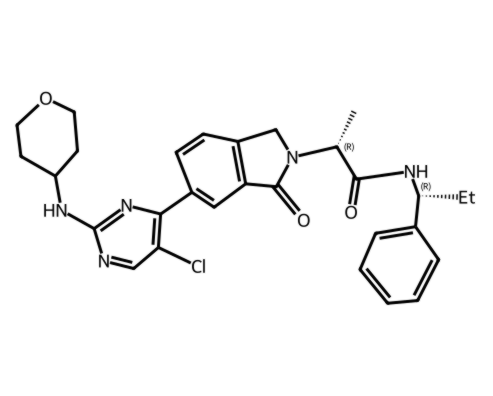 CC[C@@H](NC(=O)[C@@H](C)N1Cc2ccc(-c3nc(NC4CCOCC4)ncc3Cl)cc2C1=O)c1ccccc1